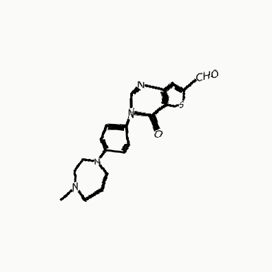 CN1CCCN(c2ccc(-n3cnc4cc(C=O)sc4c3=O)cc2)CC1